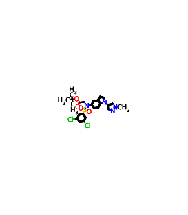 Cn1cc(-n2ccc3cc(N(CC(=O)OC(C)(C)C)S(=O)(=O)c4cc(Cl)cc(Cl)c4)ccc32)cn1